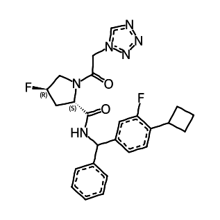 O=C(NC(c1ccccc1)c1ccc(C2CCC2)c(F)c1)[C@@H]1C[C@@H](F)CN1C(=O)Cn1cnnn1